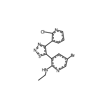 CCNc1ncc(Br)cc1-c1snnc1-c1cccnc1Cl